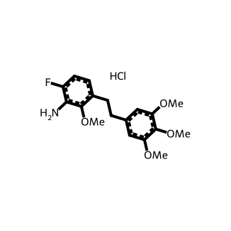 COc1cc(CCc2ccc(F)c(N)c2OC)cc(OC)c1OC.Cl